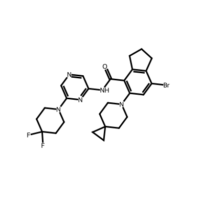 O=C(Nc1cncc(N2CCC(F)(F)CC2)n1)c1c(N2CCC3(CC2)CC3)cc(Br)c2c1CCC2